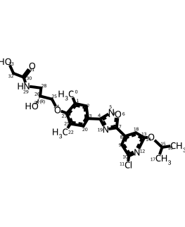 Cc1cc(-c2noc(-c3cc(Cl)nc(OC(C)C)c3)n2)cc(C)c1OC[C@H](O)CNC(=O)CO